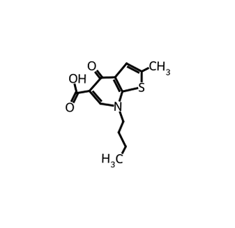 CCCCn1cc(C(=O)O)c(=O)c2cc(C)sc21